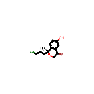 CC1(CCCCl)OCC(Br)c2cc(O)ccc21